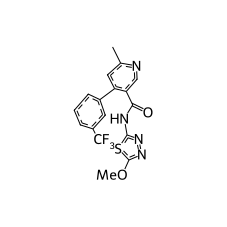 COc1nnc(NC(=O)c2cnc(C)cc2-c2cccc(C(F)(F)F)c2)s1